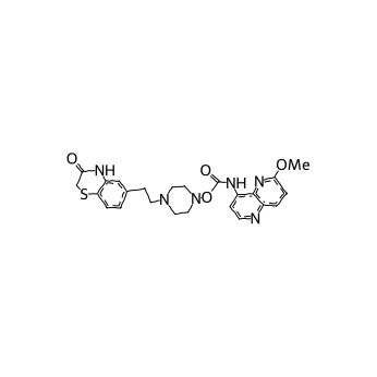 COc1ccc2nccc(NC(=O)ON3CCN(CCc4ccc5c(c4)NC(=O)CS5)CC3)c2n1